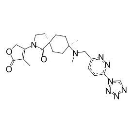 CC1=C(N2CC[C@]3(CC[C@](C)(N(C)Cc4ccc(-n5cnnn5)nn4)CC3)C2=O)COC1=O